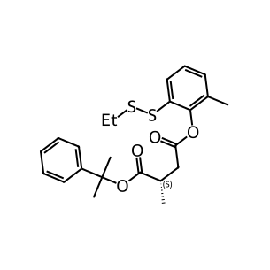 CCSSc1cccc(C)c1OC(=O)C[C@H](C)C(=O)OC(C)(C)c1ccccc1